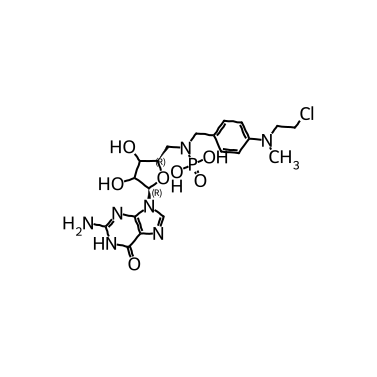 CN(CCCl)c1ccc(CN(C[C@H]2O[C@@H](n3cnc4c(=O)[nH]c(N)nc43)C(O)C2O)P(=O)(O)O)cc1